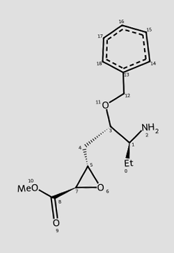 CC[C@H](N)[C@H](C[C@@H]1O[C@H]1C(=O)OC)OCc1ccccc1